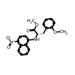 COC(=O)[C@H](Cc1ccccc1OC)Nc1ccc([N+](=O)[O-])c2ccccc12